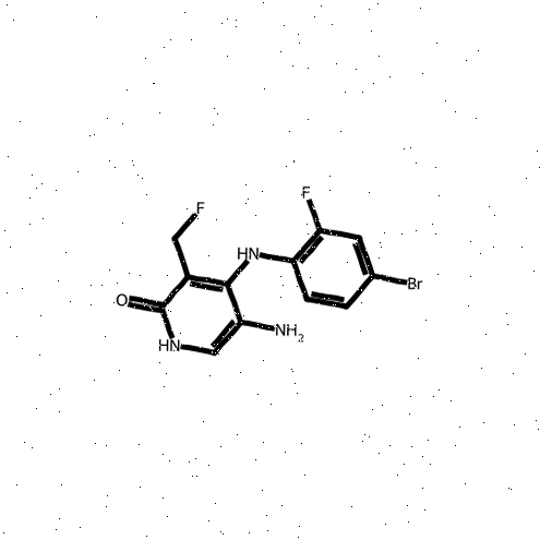 Nc1c[nH]c(=O)c(CF)c1Nc1ccc(Br)cc1F